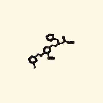 CNC(=O)CN(CCc1ccc(OCc2cccc(F)c2)c(OC)c1)Cc1ccccc1